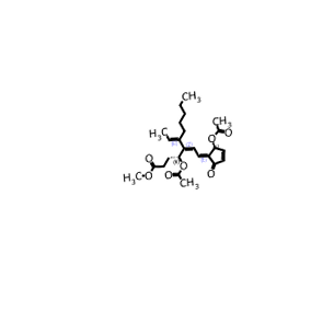 C/C=C(CCCCC)/C(=C/C=C1/C(=O)C=C[C@@H]1OC(C)=O)[C@@H](CCC(=O)OC)OC(C)=O